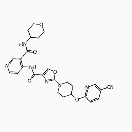 N#Cc1ccc(OC2CCN(c3nc(C(=O)Nc4ccncc4C(=O)NC4CCOCC4)co3)CC2)nc1